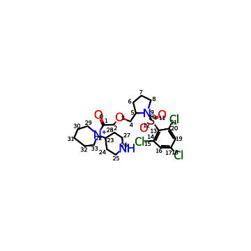 O=C(COCC1CCCN1S(=O)(=O)c1c(Cl)cc(Cl)cc1Cl)[N+]1(C2CCNCC2)CCCCC1